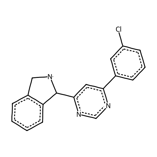 Clc1cccc(-c2cc(C3[N]Cc4ccccc43)ncn2)c1